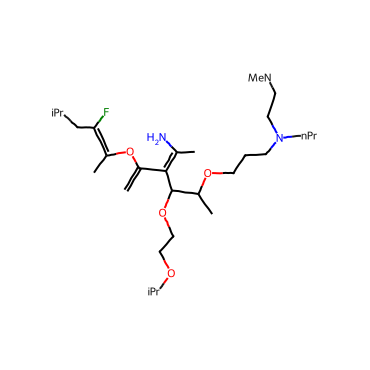 C=C(O/C(C)=C(\F)CC(C)C)/C(=C(/C)N)C(OCCOC(C)C)C(C)OCCCN(CCC)CCNC